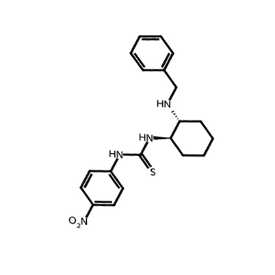 O=[N+]([O-])c1ccc(NC(=S)N[C@@H]2CCCC[C@H]2NCc2ccccc2)cc1